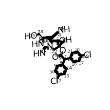 C[C@]12C[C@]1(OC(=O)C(c1ccc(Cl)cc1)c1ccc(Cl)cc1)CN1C(=N)N[C@@H](CO)C3NC(=N)N(O)C312